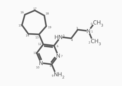 CN(C)CCNc1nc(N)ncc1C1CCCCCC1